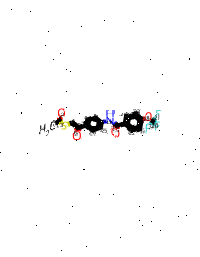 CC(=O)SCC(=O)c1ccc(NC(=O)c2ccc(OC(F)(F)F)cc2)cc1